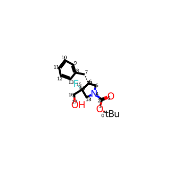 CC(C)(C)OC(=O)N1C[C@@H](Cc2ccccc2)[C@](F)(CO)C1